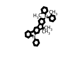 Cc1ccccc1N(c1ccc2c(c1)C(C)(C)c1cc3c(cc1-2)c1ccccc1n3-c1ccccc1)c1ccccc1C